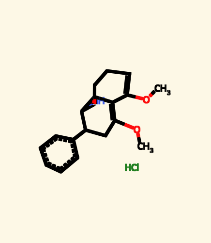 COC1=CCCC23CNCCC2C(c2ccccc2)CC(OC)=C13.Cl